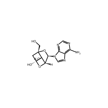 C[C@]12[C@H]3O[C@@]1(O)C[C@]2(CO)O[C@H]3n1cnc2c(N)ncnc21